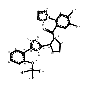 O=C(c1cc(F)c(F)cc1-n1nccn1)N1CCCC1c1nc(-c2ccccc2OC(F)(F)F)no1